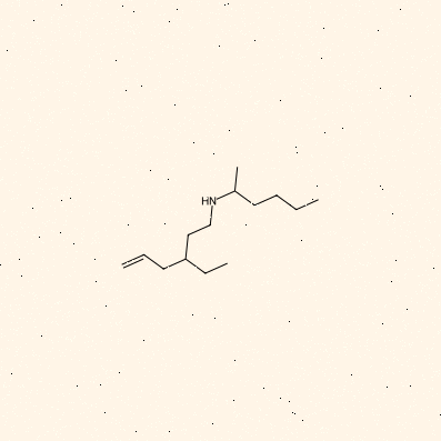 C=CCC(CC)CCNC(C)CCCC